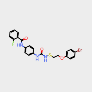 O=C(NSCCOc1ccc(Br)cc1)Nc1ccc(NC(=O)c2ccccc2F)cc1